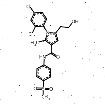 Cc1c(C(=O)Nc2ccc(S(C)(=O)=O)cc2)cc(CCO)n1-c1ccc(Cl)cc1Cl